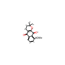 COc1cccc2c1C(=O)C1=C(CCC(C)(C)O1)C2=O